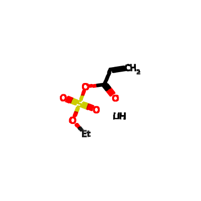 C=CC(=O)OS(=O)(=O)OCC.[LiH]